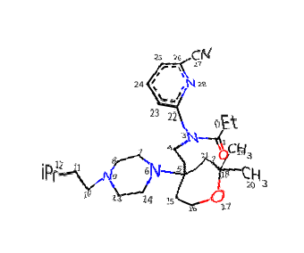 CCC(=O)N(CC1(N2CCN(CCC(C)C)CC2)CCOC(C)(C)C1)c1cccc(C#N)n1